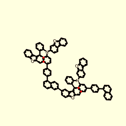 c1cc(-c2ccc(-c3cccc4ccccc34)cc2)cc(N(c2ccc3c(c2)oc2ccccc23)c2ccccc2-c2cccc3oc4ccc(-c5ccc6c(-c7ccc(-c8ccc(N(c9ccc%10c(c9)oc9ccccc9%10)c9ccccc9-c9cccc%10oc%11ccccc%11c9%10)cc8)cc7)cccc6c5)cc4c23)c1